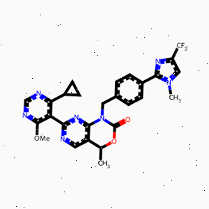 COc1ncnc(C2CC2)c1-c1ncc2c(n1)N(Cc1ccc(-c3nc(C(F)(F)F)cn3C)cc1)C(=O)OC2C